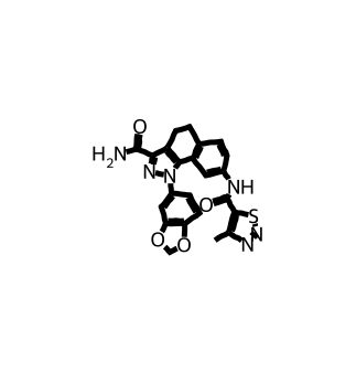 Cc1nnsc1C(=O)Nc1ccc2c(c1)-c1c(c(C(N)=O)nn1-c1ccc3c(c1)OCO3)CC2